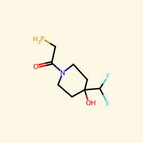 O=C(CP)N1CCC(O)(C(F)F)CC1